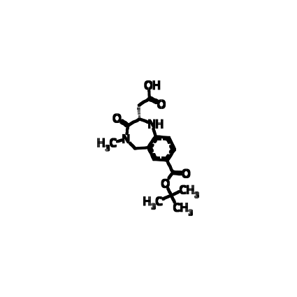 CN1Cc2cc(C(=O)OC(C)(C)C)ccc2N[C@@H](CC(=O)O)C1=O